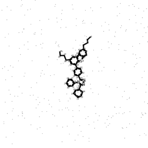 CCCCc1ccc2sc3c(-c4ccc(-c5nnc(-c6ccccc6)n5-c5ccccc5)cc4)cc(CCCC)cc3c2c1